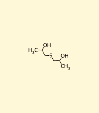 CC(O)CSCC(C)O